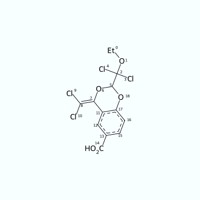 CCOC(Cl)(Cl)C1OC(=C(Cl)Cl)c2cc(C(=O)O)ccc2O1